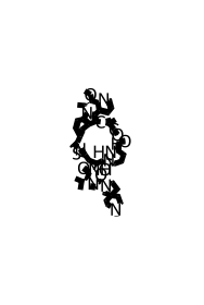 CCn1c(-c2cccnc2[C@H](C)OC)c2c3cc(ccc31)-c1csc(n1)C[C@H](NC(=O)[C@H](C(C)C)N(C)C(=O)N1CCC3(CCN(C)CC3)C1)C(=O)N1CCC[C@H](N1)C(=O)OCC(C)(C)C2